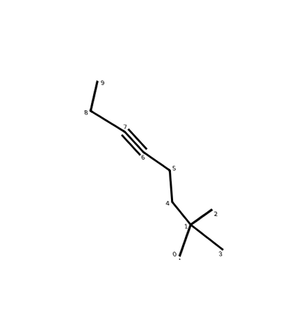 [CH2]C(C)(C)CCC#CCC